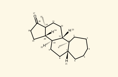 C[C@]12CCCCC[C@@H]1CC[C@@H]1[C@@H]2CC[C@]2(C)C(=O)CC[C@@H]12